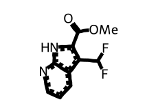 COC(=O)c1[nH]c2ncccc2c1C(F)F